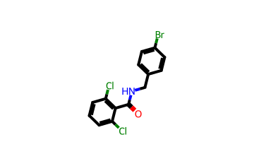 O=C(NCc1ccc(Br)cc1)c1c(Cl)cccc1Cl